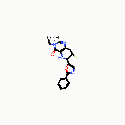 O=C(O)Cn1cnc2c(c1=O)NC(c1cnc(-c3ccccc3)o1)C(F)C2